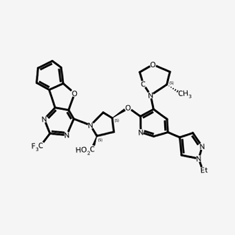 CCn1cc(-c2cnc(O[C@H]3C[C@@H](C(=O)O)N(c4nc(C(F)(F)F)nc5c4oc4ccccc45)C3)c(N3CCOC[C@@H]3C)c2)cn1